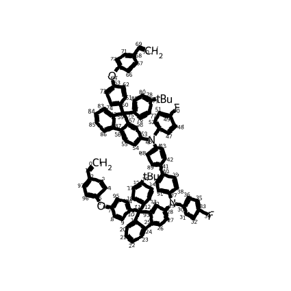 C=Cc1ccc(Oc2ccc(C3(c4ccc(C(C)(C)C)cc4)c4ccccc4-c4ccc(N(c5ccc(F)cc5)c5ccc(-c6ccc(N(c7ccc(F)cc7)c7ccc8c(c7)C(c7ccc(Oc9ccc(C=C)cc9)cc7)(c7ccc(C(C)(C)C)cc7)c7ccccc7-8)cc6)cc5)cc43)cc2)cc1